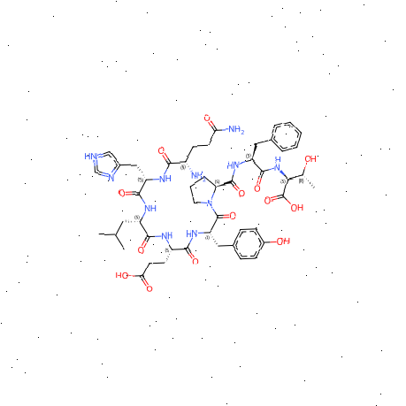 CC(C)C[C@H](NC(=O)[C@H](Cc1c[nH]cn1)NC(=O)[C@@H](N)CCC(N)=O)C(=O)N[C@@H](CCC(=O)O)C(=O)N[C@@H](Cc1ccc(O)cc1)C(=O)N1CCC[C@H]1C(=O)N[C@@H](Cc1ccccc1)C(=O)N[C@H](C(=O)O)[C@@H](C)O